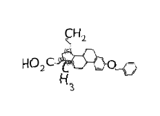 C=CC[C@H]1C[C@H](CC(=O)O)[C@@]2(C)CCC3c4ccc(OCc5ccccc5)cc4CCC3C12